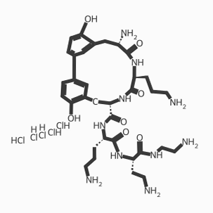 Cl.Cl.Cl.Cl.Cl.NCCC[C@H](NC(=O)[C@@H]1Cc2cc(ccc2O)-c2ccc(O)c(c2)C[C@H](N)C(=O)N[C@@H](CCCN)C(=O)N1)C(=O)N[C@@H](CCN)C(=O)NCCN